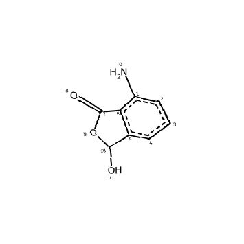 Nc1cccc2c1C(=O)OC2O